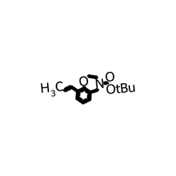 C/C=C/c1cccc2c1OCCN(C(=O)OC(C)(C)C)C2